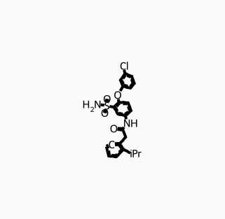 CC(C)c1ccccc1CC(=O)Nc1ccc(Oc2cccc(Cl)c2)c(S(N)(=O)=O)c1